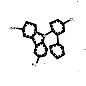 COc1ccc2c(c1)c1cc(C)ccc1n2-c1ccc(C(F)(F)F)cc1-c1ccccc1